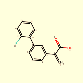 C=C(C(=O)O)c1cccc(-c2ccccc2F)c1